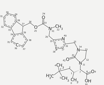 CC(CC(C)(C)C)[C@@H](C(=O)O)N1CCN(Cc2csc(CN(C)C(=O)OCC3c4ccccc4-c4ccccc43)n2)C1=O